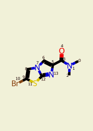 CN(C)C(=O)c1cn2cc(Br)sc2n1